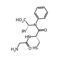 CC(C)[C@H](C(=O)O)N(C(=O)[C@H](CS)NC(=O)CN)c1ccccc1